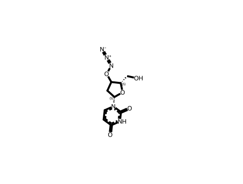 [N-]=[N+]=NOC1C[C@@H](n2ccc(=O)[nH]c2=O)O[C@H]1CO